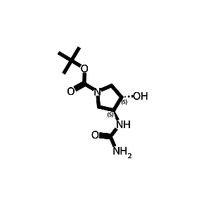 CC(C)(C)OC(=O)N1C[C@H](NC(N)=O)[C@@H](O)C1